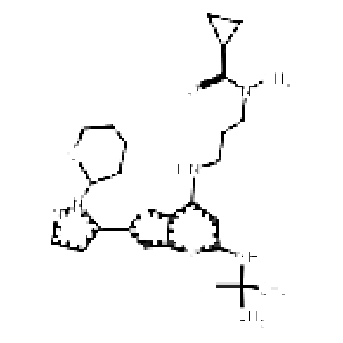 CN(CCCNc1cc(NC(C)(C)C)nc2cc(-c3ccnn3C3CCCCO3)sc12)C(=O)C1CC1